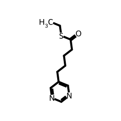 CCSC(=O)CCCCc1cncnc1